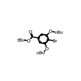 CCCCOc1cc(C(=O)OC(C)(C)C)cc(OCCCC)c1Br